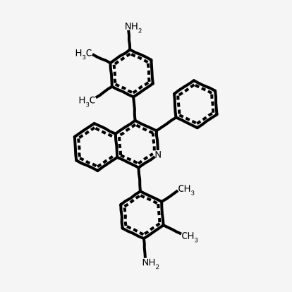 Cc1c(N)ccc(-c2nc(-c3ccccc3)c(-c3ccc(N)c(C)c3C)c3ccccc23)c1C